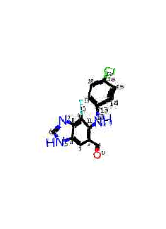 O=Cc1cc2[nH]cnc2c(F)c1Nc1ccc(Cl)cc1